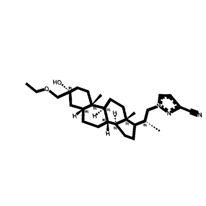 CCOC[C@@]1(O)CC[C@@]2(C)[C@H](CC[C@@H]3[C@@H]2CC[C@]2(C)C([C@@H](C)Cn4ccc(C#N)n4)CC[C@@H]32)C1